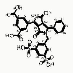 O=C1NC(c2cc(C(=O)O)cc(C(=O)O)c2)=C2C(=O)N(Cc3cc(S(=O)(=O)O)cc(S(=O)(=O)O)c3)C(c3ccccc3)=C12